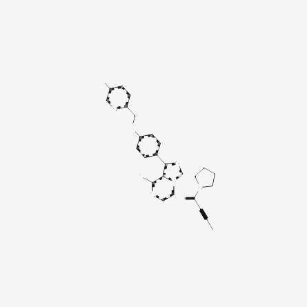 CC#CC(=O)N1CCC[C@H]1c1nc(-c2ccc(OCc3ccc(C(F)(F)F)cn3)cc2)c2c(N)nccn12